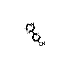 N#Cc1ccc(-c2cnc[c]n2)nc1